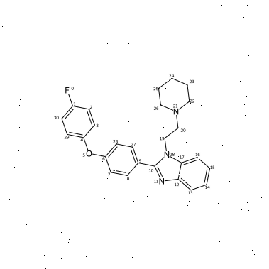 Fc1ccc(Oc2ccc(-c3nc4ccccc4n3CCN3CCCCC3)cc2)cc1